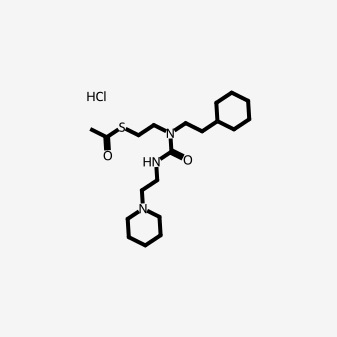 CC(=O)SCCN(CCC1CCCCC1)C(=O)NCCN1CCCCC1.Cl